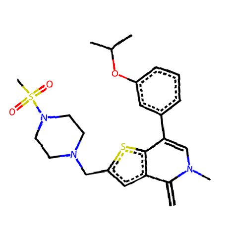 C=C1c2cc(CN3CCN(S(C)(=O)=O)CC3)sc2C(c2cccc(OC(C)C)c2)=CN1C